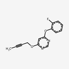 CC#CCOc1cc(Oc2ccccc2F)ncn1